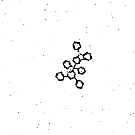 c1ccc(-c2cc(-c3ccccc3)nc([Si](c3ccccc3)(c3ccccc3)c3ccc4c(c3)c3ccccc3n4-c3ccccc3)n2)cc1